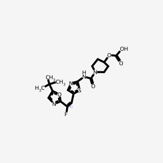 CC(C)(C)c1cnc(/C(F)=C\c2cnc(NC(=O)N3CCC(OC(=O)O)CC3)s2)o1